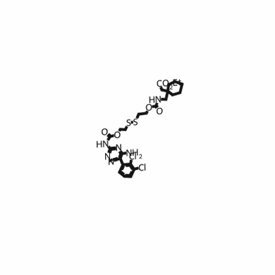 CCOC(=O)CC1(CNC(=O)OCCSSCCOC(=O)Nc2nnc(-c3cccc(Cl)c3Cl)c(N)n2)CCCCC1